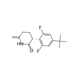 C=C1CC[C@H](c2c(F)cc(C(C)(C)C)cc2F)C(=O)N1